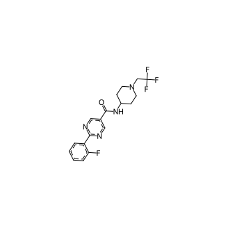 O=C(NC1CCN(CC(F)(F)F)CC1)c1cnc(-c2ccccc2F)nc1